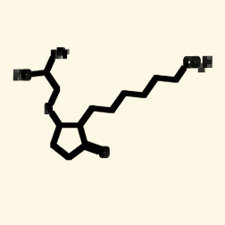 CCCC(O)CSC1CCC(=O)C1CCCCCCC(=O)O